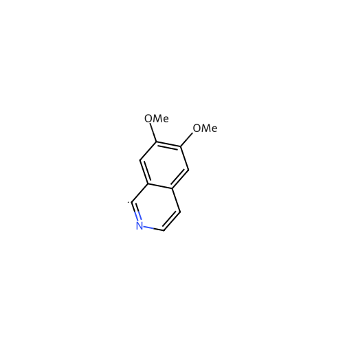 COc1cc2[c]nccc2cc1OC